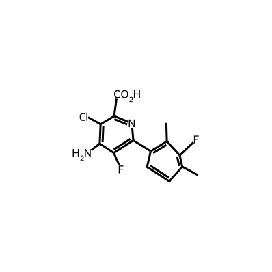 Cc1ccc(-c2nc(C(=O)O)c(Cl)c(N)c2F)c(C)c1F